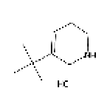 CC(C)(C)C1=CCCNC1.Cl